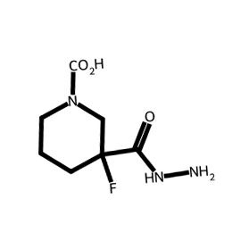 NNC(=O)C1(F)CCCN(C(=O)O)C1